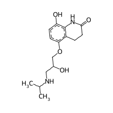 CC(C)NCC(O)COc1ccc(O)c2c1CCC(=O)N2